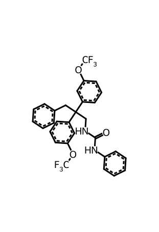 O=C(NCC(Cc1ccccc1)(c1cccc(OC(F)(F)F)c1)c1cccc(OC(F)(F)F)c1)Nc1ccccc1